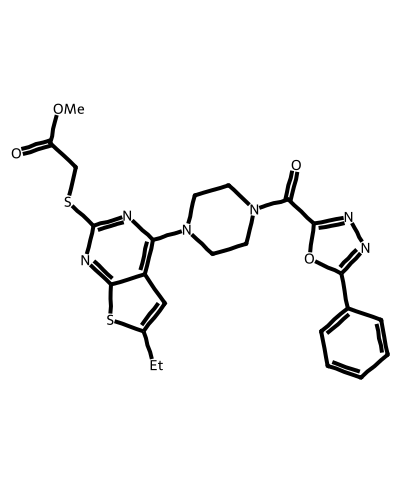 CCc1cc2c(N3CCN(C(=O)c4nnc(-c5ccccc5)o4)CC3)nc(SCC(=O)OC)nc2s1